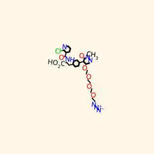 Cn1ncc(OCCOCCOCCOCCN=[N+]=[N-])c(-c2ccc(C[C@H](NC(=O)c3cccnc3Cl)C(=O)O)cc2)c1=O